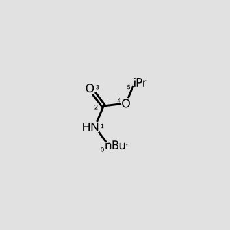 CCC[CH]NC(=O)OC(C)C